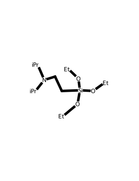 CCO[Si](CCN(C(C)C)C(C)C)(OCC)OCC